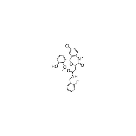 COc1c(O)cccc1[C@H]1O[C@H](CC(=O)NCc2ccccc2F)C(=O)N(C)c2ccc(Cl)cc21